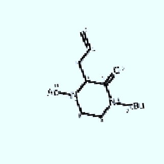 C=CCC1C(=O)N(C(C)(C)C)CCN1C(C)=O